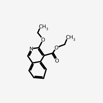 CCOC(=O)c1c(OCC)ncc2ccccc12